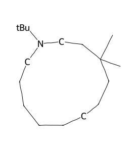 CC1(C)CCCCCCCCN(C(C)(C)C)CC1